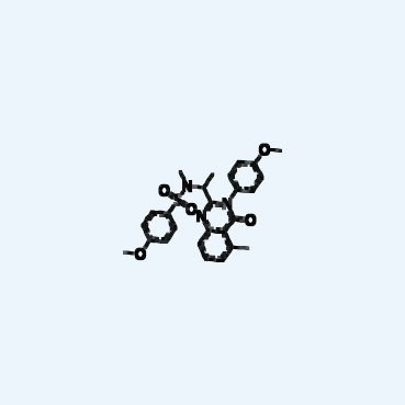 COc1ccc(-n2c(C(C)N(C)S(=O)(=O)c3ccc(OC)cc3)nc3cccc(C)c3c2=O)cc1